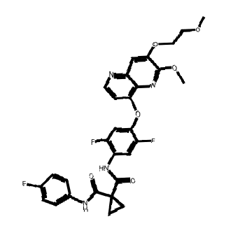 COCCOc1cc2nccc(Oc3cc(F)c(NC(=O)C4(C(=O)Nc5ccc(F)cc5)CC4)cc3F)c2nc1OC